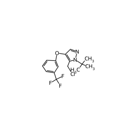 CC(C)(C)n1ncc(Oc2cccc(C(F)(F)F)c2)c1CCl